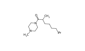 CC(C)CCCCC(C)C(=O)N1CCN(C)CC1